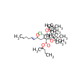 C=CCC/C=C/C(=O)Cc1c(Cl)c(O[Si](C)(C)C(C)(C)C)cc(O[Si](C)(C)C(C)(C)C)c1C(=O)O[C@H](C)CC=C